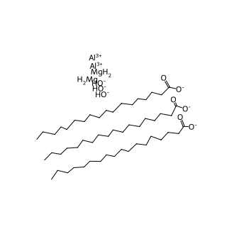 CCCCCCCCCCCCCCCCCC(=O)[O-].CCCCCCCCCCCCCCCCCC(=O)[O-].CCCCCCCCCCCCCCCCCC(=O)[O-].[Al+3].[Al+3].[MgH2].[MgH2].[OH-].[OH-].[OH-]